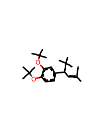 CC(C)=CC(c1ccc(OC(C)(C)C)c(OC(C)(C)C)c1)C(C)(C)C